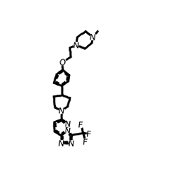 CN1CCN(CCOc2ccc(C3CCN(c4ccc5nnc(C(F)(F)F)n5n4)CC3)cc2)CC1